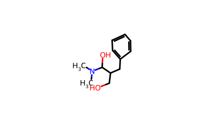 CN(C)C(O)C(CO)Cc1ccccc1